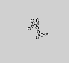 N#Cc1ccc2c(c1)c1cc(-c3ccc(-c4nc5ccccc5c5c6ccccc6c6cc(-c7ccccc7)ccc6c45)cc3)ccc1n2-c1ccccc1